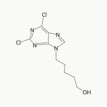 OCCCCCn1cnc2c(Cl)nc(Cl)nc21